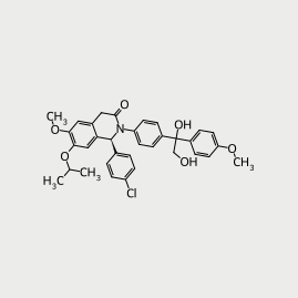 COc1ccc(C(O)(CO)c2ccc(N3C(=O)Cc4cc(OC)c(OC(C)C)cc4[C@@H]3c3ccc(Cl)cc3)cc2)cc1